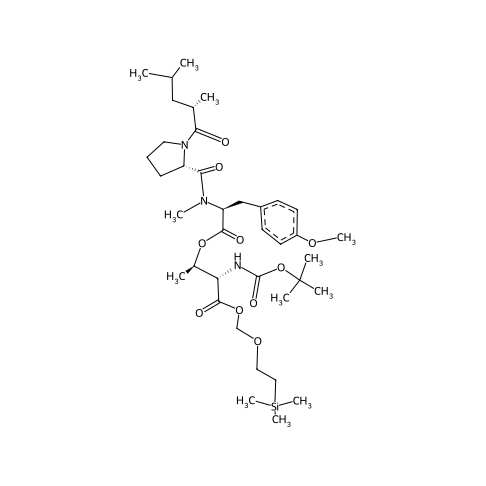 COc1ccc(C[C@@H](C(=O)O[C@H](C)[C@H](NC(=O)OC(C)(C)C)C(=O)OCOCC[Si](C)(C)C)N(C)C(=O)[C@@H]2CCCN2C(=O)[C@@H](C)CC(C)C)cc1